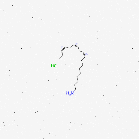 CC/C=C\C/C=C\C/C=C\CCCCCCCCN.Cl